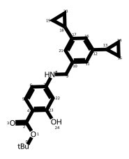 CC(C)(C)OC(=O)c1ccc(NCc2cc(C3CC3)cc(C3CC3)c2)cc1O